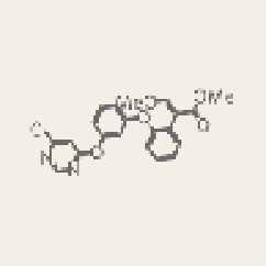 CO/C=C(/C(=O)OC)c1ccccc1Oc1cccc(Oc2cc(Cl)ncn2)c1